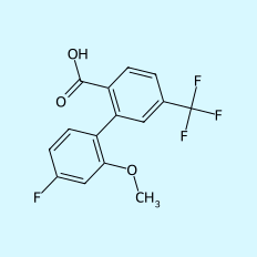 COc1cc(F)ccc1-c1cc(C(F)(F)F)ccc1C(=O)O